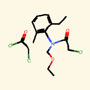 CCOCN(C(=O)CCl)c1c(C)cccc1CC.O=C(Cl)CCl